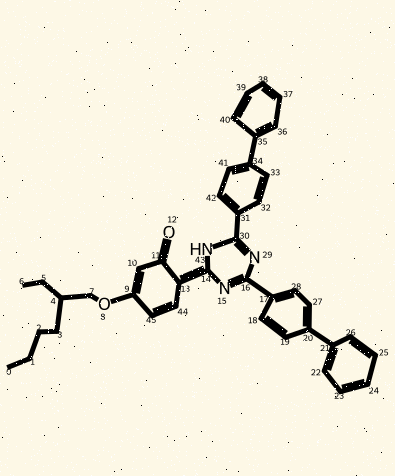 CCCCC(CC)COC1=CC(=O)/C(=C2/N=C(c3ccc(-c4ccccc4)cc3)N=C(c3ccc(-c4ccccc4)cc3)N2)C=C1